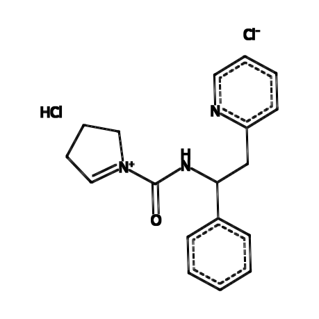 Cl.O=C(NC(Cc1ccccn1)c1ccccc1)[N+]1=CCCC1.[Cl-]